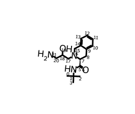 CC(C)(C)NC(=O)[C@@H]1Cc2ccccc2CN1CC(O)CN